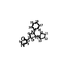 [C]1=C(c2cnco2)SC(N2CCCC2)N1c1ccccc1